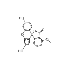 COc1cccc2c1C(=O)OC21c2ccc(O)cc2Oc2cc(O)ccc21